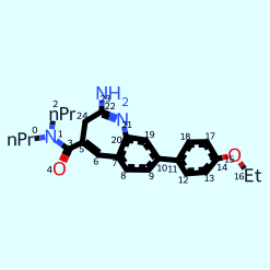 CCCN(CCC)C(=O)C1=Cc2ccc(-c3ccc(OCC)cc3)cc2N=C(N)C1